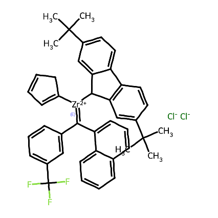 CC(C)(C)c1ccc2c(c1)[CH](/[Zr+2]([C]1=CC=CC1)=[C](/c1cccc(C(F)(F)F)c1)c1cccc3ccccc13)c1cc(C(C)(C)C)ccc1-2.[Cl-].[Cl-]